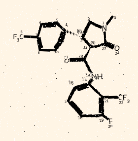 CN1C[C@@H](c2ccc(C(F)(F)F)cc2)[C@H](C(=O)Nc2cccc(F)c2C(F)(F)F)C1=O